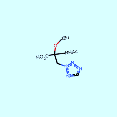 CC(=O)NC(Cn1ncnn1)(OC(C)(C)C)C(=O)O